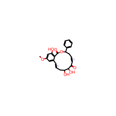 COc1cc(O)c2c(c1)/C=C/CC(O)C(O)C(=O)/C=C\CC(c1ccccc1)OC2=O